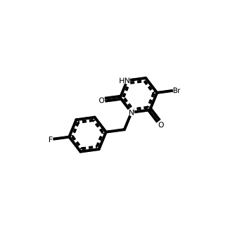 O=c1[nH]cc(Br)c(=O)n1Cc1ccc(F)cc1